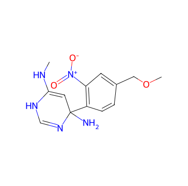 CNC1=CC(N)(c2ccc(COC)cc2[N+](=O)[O-])N=CN1